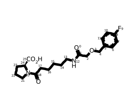 O=C(COCc1ccc(F)cc1)NCCCCCC(=O)N1CCC[C@H]1C(=O)O